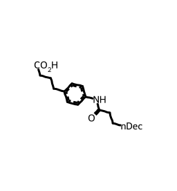 CCCCCCCCCCCCC(=O)Nc1ccc(CCCC(=O)O)cc1